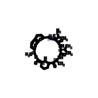 CC(C)[C@@H]1NC(=O)C(C)(C(C)C)/C=C/c2ccc3ccc(nc3c2)[C@@H](C)OC(=O)[C@@H]2CCCN(N2)C(=O)[C@H](C)NC1=O